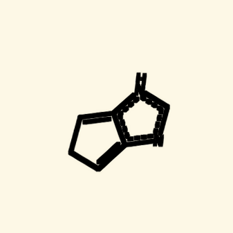 C1=c2nc[nH]c2=CC1